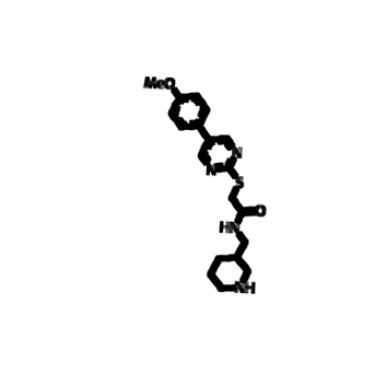 COc1ccc(-c2cnc(SCC(=O)NCC3CCCNC3)nc2)cc1